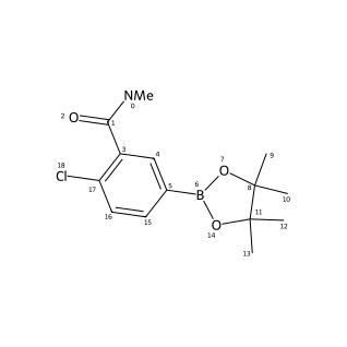 CNC(=O)c1cc(B2OC(C)(C)C(C)(C)O2)ccc1Cl